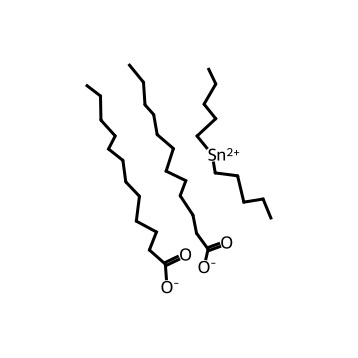 CCCCCCCCCCCC(=O)[O-].CCCCCCCCCCCC(=O)[O-].CCCC[CH2][Sn+2][CH2]CCCC